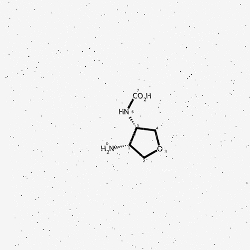 N[C@H]1COC[C@H]1NC(=O)O